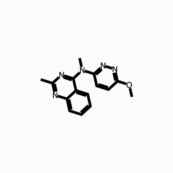 COc1ccc(N(C)c2nc(C)nc3ccccc23)nn1